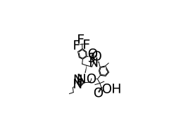 CCCn1cc(COC(c2ccc(C)c(CN3C[C@@H](C)Cc4ccc(C(F)(F)F)cc4S3(=O)=O)c2)C(C)(C)C(=O)O)nn1